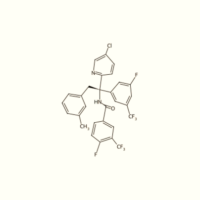 Cc1cccc(C[C@](NC(=O)c2ccc(F)c(C(F)(F)F)c2)(c2cc(F)cc(C(F)(F)F)c2)c2ccc(Cl)cn2)c1